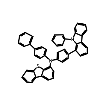 c1ccc(-c2ccc(N(c3ccc(-c4cccc5c6ccccc6n(-c6ccccc6)c45)cc3)c3cccc4c3sc3ccccc34)cc2)cc1